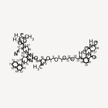 CN1C[C@H](OCCOCCOCCOCCNc2cccc3c2C(=O)N(C2CCC(=O)NC2=O)C3=O)C[C@H]1COc1nc2c(c(N3CCN(C(=O)OC(C)(C)C)[C@@H](CC#N)C3)n1)CCN(c1cccc3ccccc13)C2